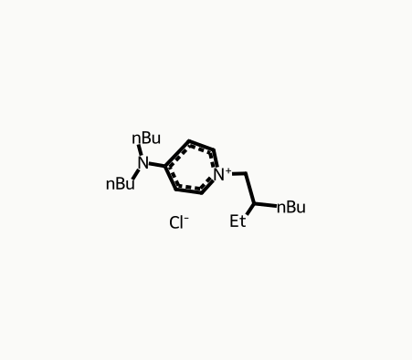 CCCCC(CC)C[n+]1ccc(N(CCCC)CCCC)cc1.[Cl-]